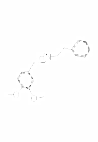 COc1ccc(CCNCCc2ccccc2)cc1OC